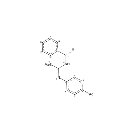 CSC(=Nc1ccc(C(C)=O)cc1)N[C@@H](C)c1ccccc1